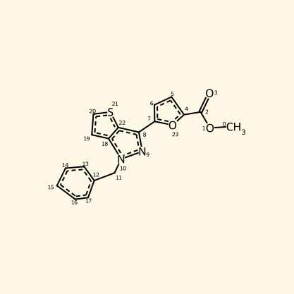 COC(=O)c1ccc(-c2nn(Cc3ccccc3)c3ccsc23)o1